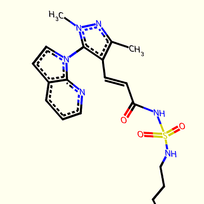 CCCCNS(=O)(=O)NC(=O)C=Cc1c(C)nn(C)c1-n1ccc2cccnc21